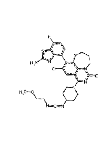 COCCN=C=NC1CCN(c2nc(=O)n3c4c(c(-c5ccc(F)c6sc(N)nc56)c(Cl)cc24)SCCC3)CC1